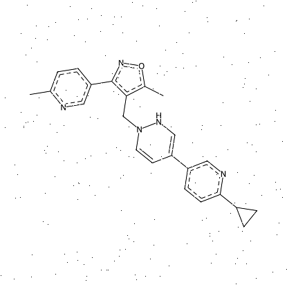 Cc1ccc(-c2noc(C)c2CN2C=CC(c3ccc(C4CC4)nc3)=CN2)cn1